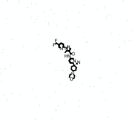 Cc1c(C(=O)Nc2ccc([C@]3(C#N)CC[C@@H](N4CCOCC4)CC3)nc2)cnn1-c1ccc(C(F)F)cn1